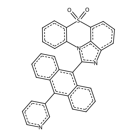 O=S1(=O)c2ccccc2-n2c(-c3c4ccccc4c(-c4cccnc4)c4ccccc34)nc3cccc1c32